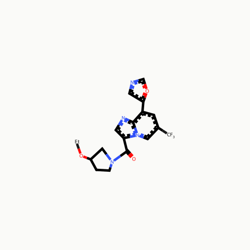 CCOC1CCN(C(=O)c2cnc3c(-c4cnco4)cc(C(F)(F)F)cn23)C1